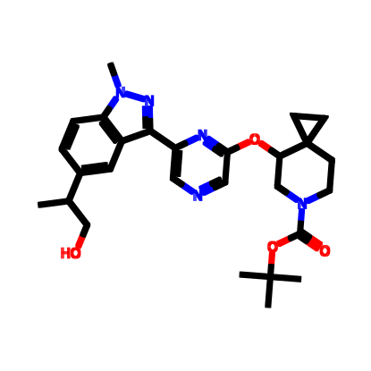 CC(CO)c1ccc2c(c1)c(-c1cncc(OC3CN(C(=O)OC(C)(C)C)CCC34CC4)n1)nn2C